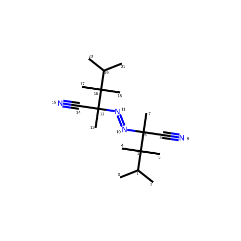 CC(C)C(C)(C)C(C)(C#N)N=NC(C)(C#N)C(C)(C)C(C)C